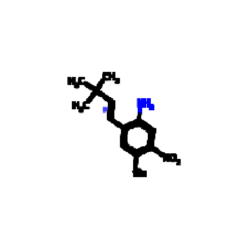 CC(C)(C)c1cc(/C=C/[Si](C)(C)C)c(N)cc1[N+](=O)[O-]